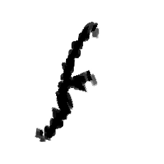 C=CC(=O)OCCOC(=O)CCC(=O)OCCc1ccc(OC(=O)[C@H]2CC[C@H](C(=O)Oc3ccc(OC(=O)[C@H]4CC[C@H](C(=O)Oc5ccc(CCOC(=O)CCC(=O)OCCOC(=O)C=C)cc5)CC4)c4c3SC(=C(C#N)C(=O)OC)S4)CC2)cc1